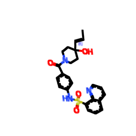 C/C=C/C1(O)CCN(C(=O)c2ccc(NS(=O)(=O)c3cccc4cccnc34)cc2)CC1